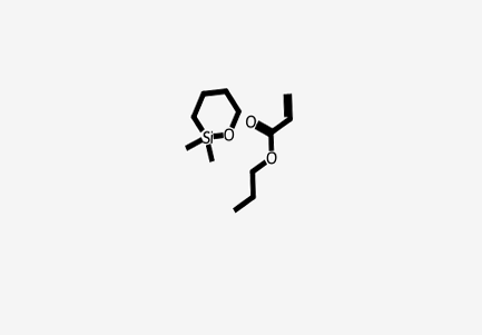 C=CC(=O)OCCC.C[Si]1(C)CCCCO1